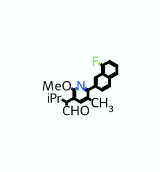 COc1nc(-c2ccc3cccc(F)c3c2)c(C)cc1C(C=O)C(C)C